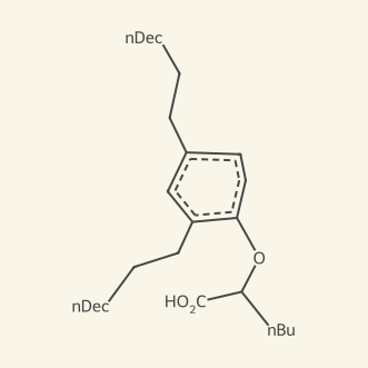 CCCCCCCCCCCCc1ccc(OC(CCCC)C(=O)O)c(CCCCCCCCCCCC)c1